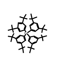 CC(C)(C)c1cc(C(C)(C)C)c[c]([Ga-]([c]2cc(C(C)(C)C)cc(C(C)(C)C)c2)([c]2cc(C(C)(C)C)cc(C(C)(C)C)c2)[c]2cc(C(C)(C)C)cc(C(C)(C)C)c2)c1